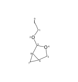 ICOC1OCC2CC21